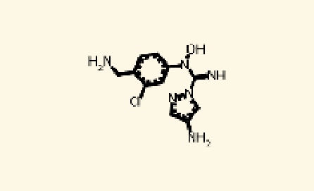 N=C(N(O)c1ccc(CN)c(Cl)c1)n1cc(N)cn1